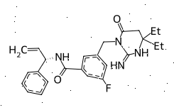 C=C[C@H](NC(=O)c1cc(F)cc(CN2C(=N)NC(CC)(CC)CC2=O)c1)c1ccccc1